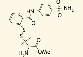 COC(=O)C(N)C(C)(C)SSc1ccccc1C(=O)Nc1ccc(S(N)(=O)=O)cc1